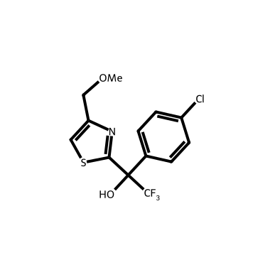 COCc1csc(C(O)(c2ccc(Cl)cc2)C(F)(F)F)n1